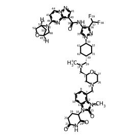 CN(C[C@@H]1CN(Cc2cccc3c2n(C)c(=O)n3C2CCC(=O)NC2=O)CCO1)C[C@H]1CC[C@H](n2cc(NC(=O)c3cnn4ccc(N5C[C@H]6C[C@@H]5CO6)nc34)c(C(F)F)n2)CC1